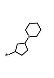 CC(C)C1CCC(N2CCCCC2)C1